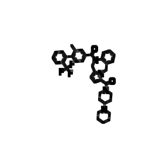 Cc1cc(C(=O)N2Cc3ccc(C(=O)N4CCC(N5CCCCC5)CC4)n3Cc3ccccc32)ccc1-c1ccccc1C(F)(F)F